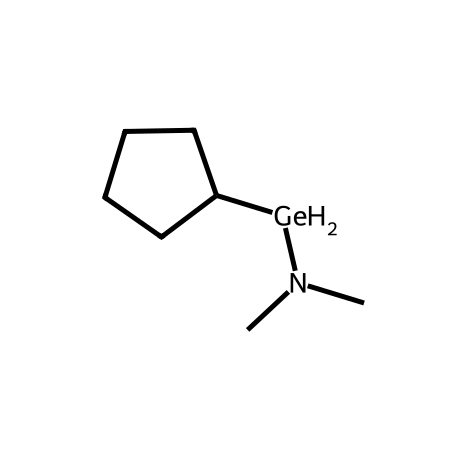 C[N](C)[GeH2][CH]1CCCC1